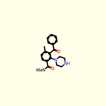 CNC(=O)c1ccc(C)c(C(=O)c2ccccc2)c1N1CCNCC1